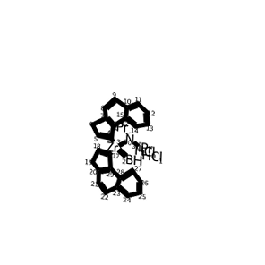 Cl.Cl.[BH]=[Zr]([C]1=CCc2ccc3ccccc3c21)([C]1=CCc2ccc3ccccc3c21)[N](C(C)C)C(C)C